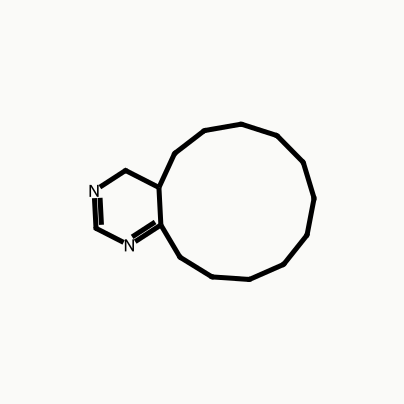 C1=NCC2CCCCCCCCCCCC2=N1